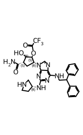 NC(=O)[C@H]1C[C@@H](n2cnc3c(NCC(c4ccccc4)c4ccccc4)nc(N[C@@H]4CCNC4)nc32)[C@H](OC(=O)C(F)(F)F)[C@@H]1O